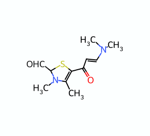 CC1=C(C(=O)C=CN(C)C)SC(C=O)N1C